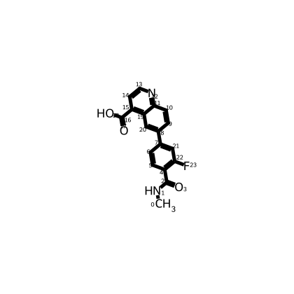 CNC(=O)c1ccc(-c2ccc3nccc(C(=O)O)c3c2)cc1F